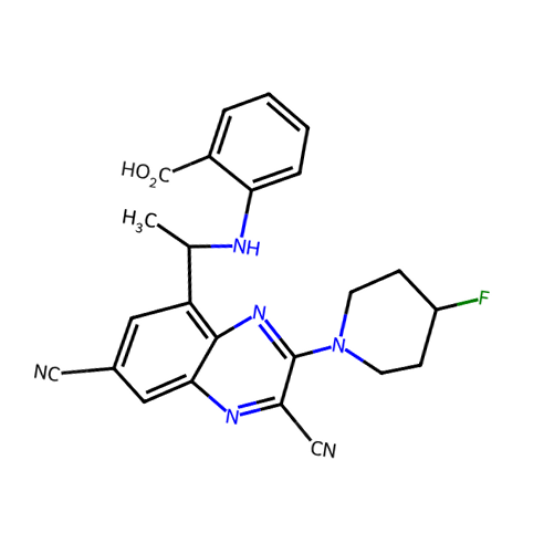 CC(Nc1ccccc1C(=O)O)c1cc(C#N)cc2nc(C#N)c(N3CCC(F)CC3)nc12